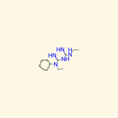 CCNC(=N)NC(=N)N(CC)c1ccccc1